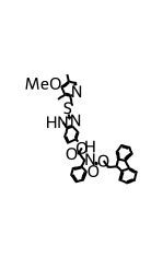 COc1c(C)cnc(CSc2nc3cc(OC(=O)C(NC(=O)OCC4c5ccccc5-c5ccccc54)c4ccccc4)ccc3[nH]2)c1C